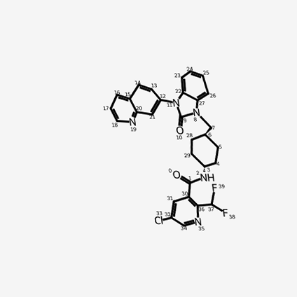 O=C(N[C@H]1CC[C@H](Cn2c(=O)n(-c3ccc4cccnc4c3)c3ccccc32)CC1)c1cc(Cl)cnc1C(F)F